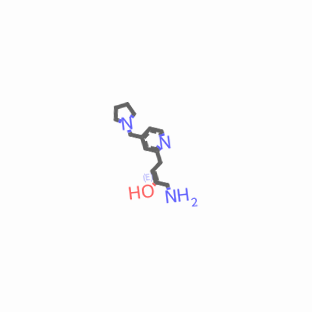 NC/C(O)=C\Cc1cc(CN2CCCC2)ccn1